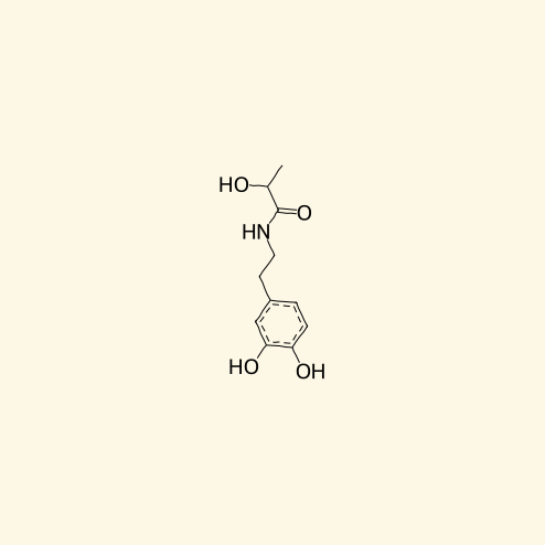 CC(O)C(=O)NCCc1ccc(O)c(O)c1